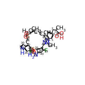 C[C@H](Cc1cccc([C@@]2(C)CCCC(C)(C)CS(=O)(=O)CCc3c(c(F)cc4[nH]ccc34)S(=O)(=O)c3cc(c(F)cc3N)-c3nc2nn3C)c1)C(=O)O